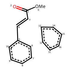 COC(=O)C=Cc1ccccc1.c1ccccc1